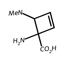 CNC1C=CC1(N)C(=O)O